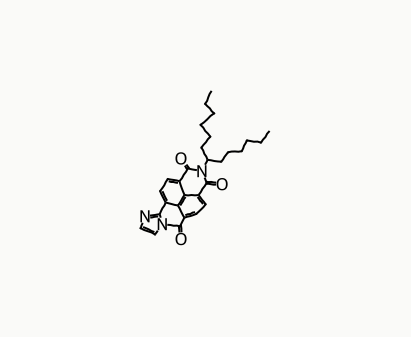 CCCCCCC(CCCCCC)N1C(=O)c2ccc3c(=O)n4ccnc4c4ccc(c2c34)C1=O